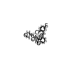 O=C(CN1CCOCC1)Nc1noc2cccc(OCc3cc(F)ccc3Cl)c12